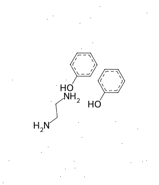 NCCN.Oc1ccccc1.Oc1ccccc1